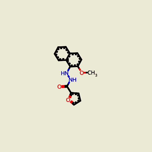 COc1ccc2ccccc2c1NNC(=O)c1ccco1